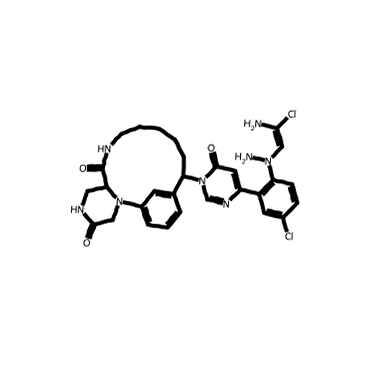 N/C(Cl)=C\N(N)c1ccc(Cl)cc1-c1cc(=O)n(C2CCCCCNC(=O)C3CNC(=O)CN3c3cccc2c3)cn1